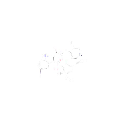 C#Cc1cc(C)cc(P(=O)(OC)c2c(C(=O)NCc3c(F)cncc3F)[nH]c3ccc(I)cc23)c1